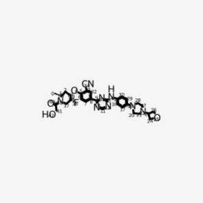 C[C@H]1C[C@H](Oc2ccc(-c3ncnc(Nc4ccc(N5CCN(C6COC6)CC5)cc4)n3)cc2C#N)[C@H](F)CN1C(=O)CO